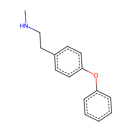 CNCCc1ccc(Oc2ccccc2)cc1